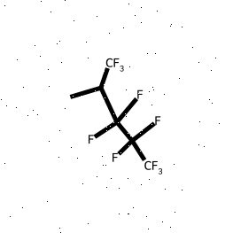 C[C](C(F)(F)F)C(F)(F)C(F)(F)C(F)(F)F